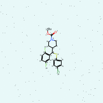 CC(C)(C)OC(=O)N1CCC(C(Sc2ccc(Cl)cc2)c2cc(F)ccc2F)CC1